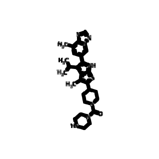 Cc1c(C2CCN(C(=O)N3CCNCC3)CC2)sc2[nH]c(-c3cc(C)c4ncnn4c3)c(C(C)C)c12